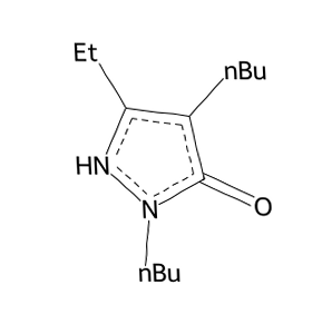 CCCCc1c(CC)[nH]n(CCCC)c1=O